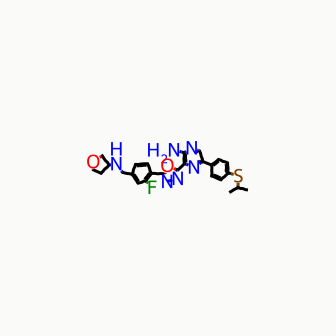 CC(C)Sc1ccc(-c2cnc(N)c(-c3nnc(-c4ccc(CNC5CCOC5)cc4F)o3)n2)cc1